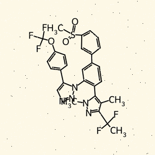 Cc1c(C(C)(F)F)nn(C)c1-c1ccc(-c2cccc(S(C)(=O)=O)c2)cc1-n1nncc1-c1ccc(OC(F)(F)F)cc1